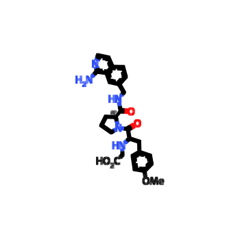 COc1ccc(CC(NCC(=O)O)C(=O)N2CCC[C@H]2C(=O)NCc2ccc3ccnc(N)c3c2)cc1